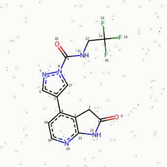 O=C1Cc2c(-c3cnn(C(=O)NCC(F)(F)F)c3)ccnc2N1